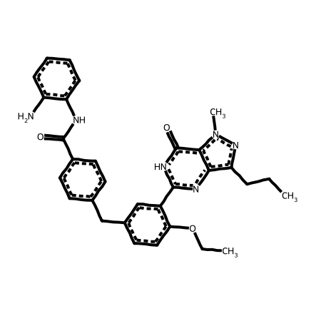 CCCc1nn(C)c2c(=O)[nH]c(-c3cc(Cc4ccc(C(=O)Nc5ccccc5N)cc4)ccc3OCC)nc12